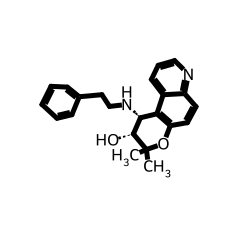 CC1(C)Oc2ccc3ncccc3c2[C@@H](NCCc2ccccc2)[C@H]1O